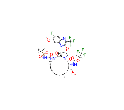 COC[C@@H]1C[C@H](C)CC/C=C\C2C[C@@]2(C(=O)NS(=O)(=O)C2(C)CC2)NC(=O)[C@@H]2C[C@@H](Oc3nc4cc(OC)c(F)cc4nc3C(F)(F)F)CN2C(=O)[C@H]1NC(=O)OC(C)(C)C(F)(F)F